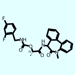 C[C@H](OC(=O)NCc1ccc(F)cc1F)C(=O)NC1C(=O)N(C)c2ccccc2-c2ccccc21